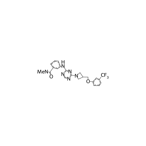 CNC(=O)c1cccc(Nc2ncnc(N3CC(COc4cccc(C(F)(F)F)c4)C3)n2)c1